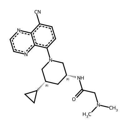 CN(C)CC(=O)N[C@@H]1C[C@H](C2CC2)CN(c2ccc(C#N)c3nccnc23)C1